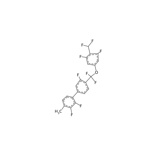 Cc1ccc(-c2ccc(C(F)(F)Oc3cc(F)c(C(F)F)c(F)c3)c(F)c2)c(F)c1F